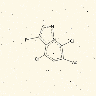 CC(=O)c1cc(Cl)c2c(F)cnn2c1Cl